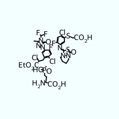 CCOC(=O)C(Cl)Cc1cc(-n2nc(C)n(C(F)F)c2=O)c(F)cc1Cl.CP(=O)(O)CCC(N)C(=O)O.O=C(O)CSc1cc(N=c2sc(=O)n3n2CCCC3)c(F)cc1Cl